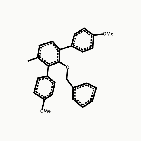 COc1ccc(-c2c[c]c(C)c(-c3ccc(OC)cc3)c2OCc2ccccc2)cc1